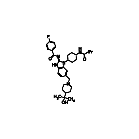 CC(C)C(=O)NC1CCC(n2c(=NC(=O)c3ccc(F)cc3)[nH]c3ccc(CN4CCC(C(C)(C)O)CC4)cc32)CC1